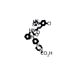 O=C(/C=C/c1cc(Cl)ccc1-n1cnnn1)N[C@@H](Cc1ccccc1)C(=O)Nc1ccc(N2CCN(C(=O)O)CC2)cc1